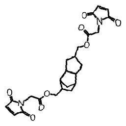 O=C(CN1C(=O)C=CC1=O)OCC1CC2C3CC(COC(=O)CN4C(=O)C=CC4=O)C(C3)C2C1